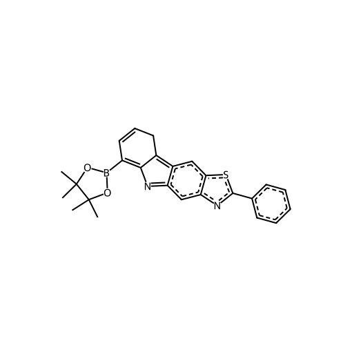 CC1(C)OB(C2=C3N=c4cc5nc(-c6ccccc6)sc5cc4=C3CC=C2)OC1(C)C